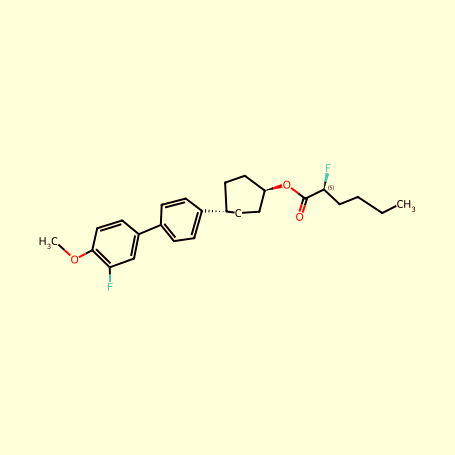 CCCC[C@H](F)C(=O)O[C@H]1CC[C@H](c2ccc(-c3ccc(OC)c(F)c3)cc2)CC1